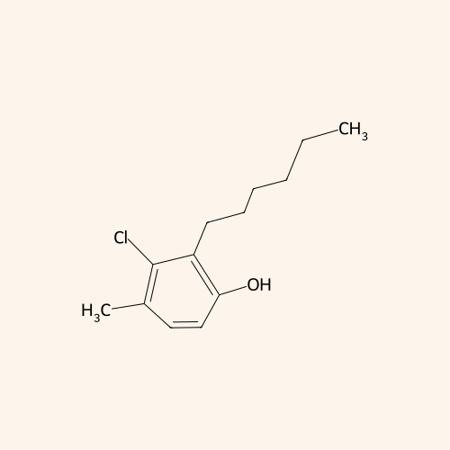 CCCCCCc1c(O)ccc(C)c1Cl